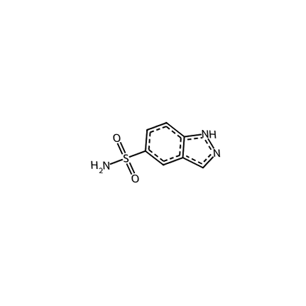 NS(=O)(=O)c1ccc2[nH]ncc2c1